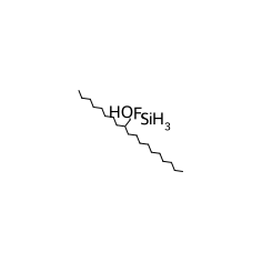 CCCCCCCCCCC(CO)CCCCCCCC.F[SiH3]